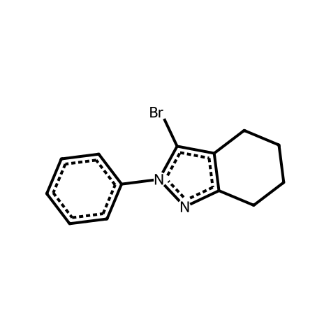 Brc1c2c(nn1-c1ccccc1)CCCC2